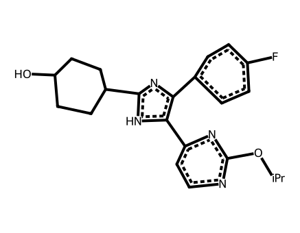 CC(C)Oc1nccc(-c2[nH]c(C3CCC(O)CC3)nc2-c2ccc(F)cc2)n1